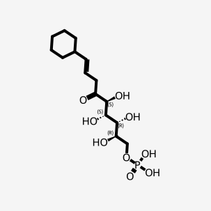 O=C(CC=CC1CCCCC1)[C@@H](O)[C@@H](O)[C@H](O)[C@H](O)COP(=O)(O)O